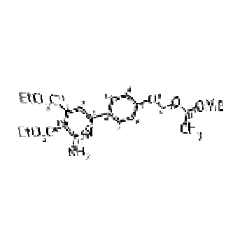 CCOC(=O)c1cc(-c2ccc(OCOC(C)OC)cc2)nc(N)c1C(=O)OCC